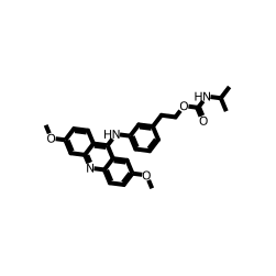 COc1ccc2c(Nc3cccc(CCOC(=O)NC(C)C)c3)c3cc(OC)ccc3nc2c1